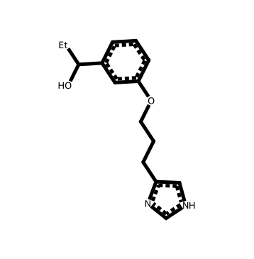 CCC(O)c1cccc(OCCCc2c[nH]cn2)c1